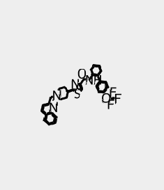 O=C(Nc1ccccc1-c1ccc(OC(F)(F)F)cc1)c1csc(C2CCN(Cc3ccc4ccccc4n3)CC2)n1